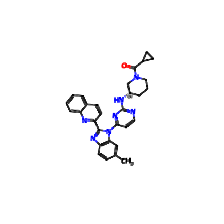 Cc1ccc2nc(-c3ccc4ccccc4n3)n(-c3ccnc(N[C@H]4CCCN(C(=O)C5CC5)C4)n3)c2c1